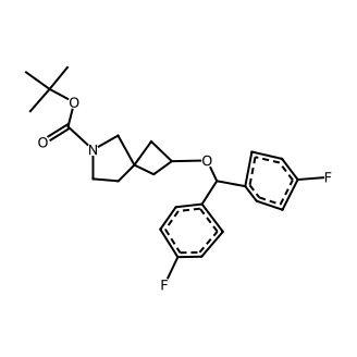 CC(C)(C)OC(=O)N1CCC2(CC(OC(c3ccc(F)cc3)c3ccc(F)cc3)C2)C1